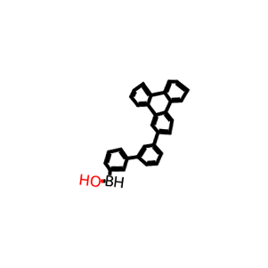 OBc1cccc(-c2cccc(-c3ccc4c5ccccc5c5ccccc5c4c3)c2)c1